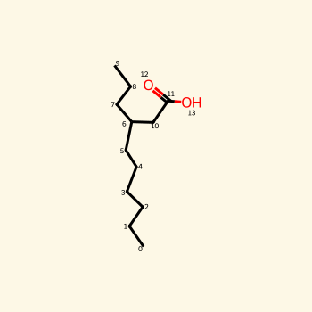 CCCCCCC(CCC)CC(=O)O